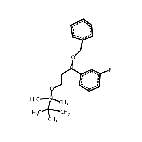 CC(C)(C)[Si](C)(C)OCCN(OCc1ccccc1)c1cccc(F)c1